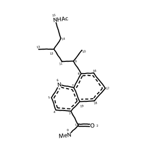 CNC(=O)c1ccnc2c(C(C)CC(C)CNC(C)=O)cccc12